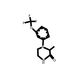 CC1C(=O)NCCN1c1cccc(OC(F)(F)F)c1